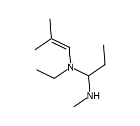 CCC(NC)N(C=C(C)C)CC